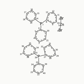 [Br][Zn][Br].c1ccc(P(c2ccccc2)c2ccccc2)cc1.c1ccc(P(c2ccccc2)c2ccccc2)cc1